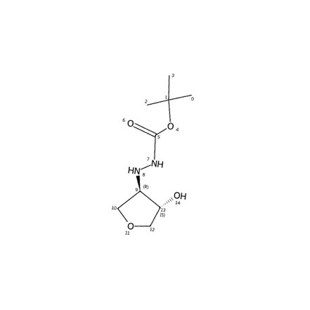 CC(C)(C)OC(=O)NN[C@@H]1COC[C@H]1O